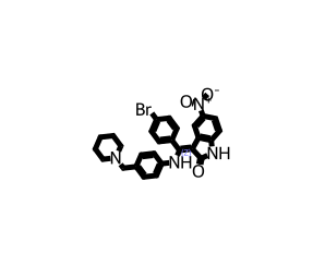 O=C1Nc2ccc([N+](=O)[O-])cc2/C1=C(/Nc1ccc(CN2CCCCC2)cc1)c1ccc(Br)cc1